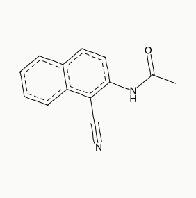 CC(=O)Nc1ccc2ccccc2c1C#N